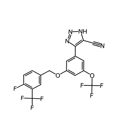 N#Cc1[nH]nnc1-c1cc(OCc2ccc(F)c(C(F)(F)F)c2)cc(OC(F)(F)F)c1